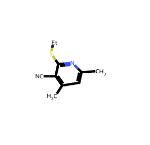 CCSc1nc(C)cc(C)c1C#N